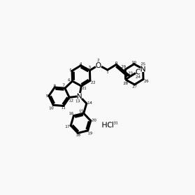 C(COc1ccc2c3ccccc3n(Cc3ccccc3)c2c1)=C1CN2CCC1CC2.Cl